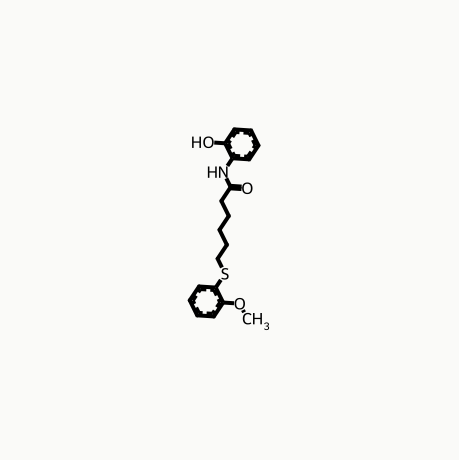 COc1ccccc1SCCCCCC(=O)Nc1ccccc1O